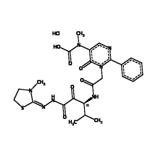 CC(C)[C@H](NC(=O)Cn1c(-c2ccccc2)ncc(N(C)C(=O)O)c1=O)C(=O)C(=O)NN=C1SCCN1C.Cl